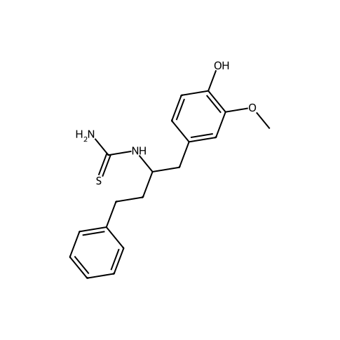 COc1cc(CC(CCc2ccccc2)NC(N)=S)ccc1O